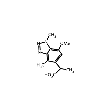 COc1cc(C(C)C(=O)O)c(C)c2nnn(C)c12